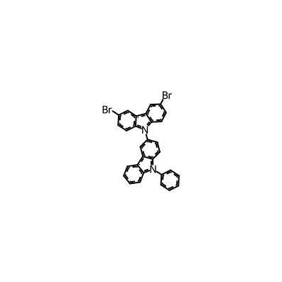 Brc1ccc2c(c1)c1cc(Br)ccc1n2-c1ccc2c(c1)c1ccccc1n2-c1ccccc1